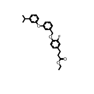 CCOC(=O)CCc1ccc(OCc2cccc(Oc3cccc(C(C)C)c3)c2)c(F)c1